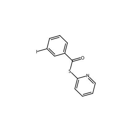 O=C(Sc1ccccn1)c1cccc(I)c1